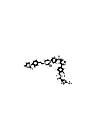 CC[C@H]1CN(CCc2ccc(N3CCC(=O)NC3=O)c(F)c2)CCN1c1ccc(Nc2cc(-c3ccc([C@@H](C)NC(=O)c4nc(C(C)(C)C)no4)c(C)c3)ncn2)nc1